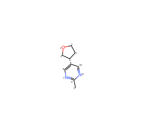 C1CCOC1.Cc1ncccn1